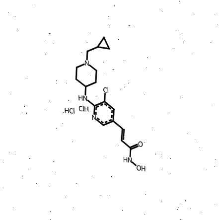 Cl.Cl.O=C(/C=C/c1cnc(NC2CCN(CC3CC3)CC2)c(Cl)c1)NO